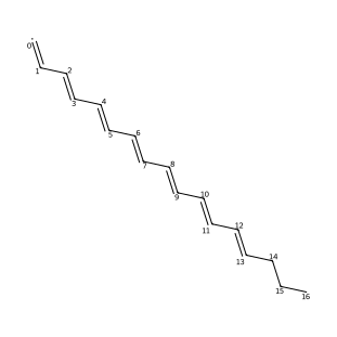 [CH]=C/C=C/C=C/C=C/C=C/C=C/C=C/CCC